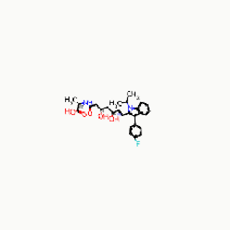 CC(C)n1c(/C=C/[C@H](O)C[C@H](O)CC(=O)N[C@@H](C)C(=O)O)c(-c2ccc(F)cc2)c2ccccc21